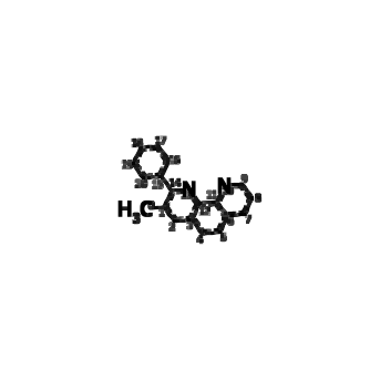 Cc1cc2ccc3cccnc3c2nc1-c1ccccc1